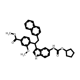 COC(=O)c1ccc(C(Cc2ccc3ccccc3c2)c2c[nH]c3ccc(NC(=O)OC4CCCC4)cc23)c(OC)c1